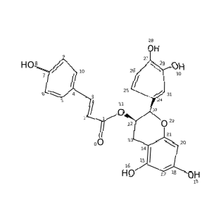 O=C(/C=C/c1ccc(O)cc1)O[C@@H]1Cc2c(O)cc(O)cc2O[C@@H]1c1ccc(O)c(O)c1